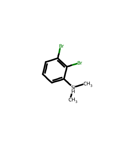 C[SiH](C)c1cccc(Br)c1Br